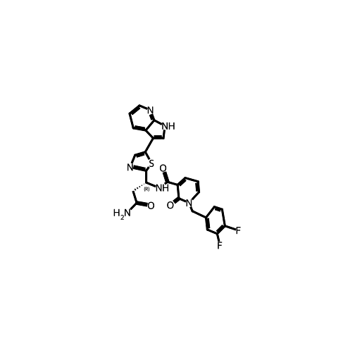 NC(=O)C[C@@H](NC(=O)c1cccn(Cc2ccc(F)c(F)c2)c1=O)c1ncc(-c2c[nH]c3ncccc23)s1